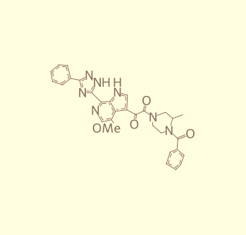 COc1cnc(-c2nc(-c3ccccc3)n[nH]2)c2[nH]cc(C(=O)C(=O)N3CCN(C(=O)c4ccccc4)C(C)C3)c12